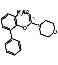 C/C=C(\Oc1c(C=O)cccc1-c1ccccc1)N1CCOCC1